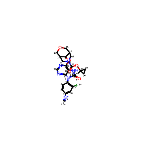 [C-]#[N+]c1ccc(-n2c(=O)[nH]c3c(OC4C5COCC4CN(C(=O)OC4(C)CC4)C5)ncnc32)c(F)c1